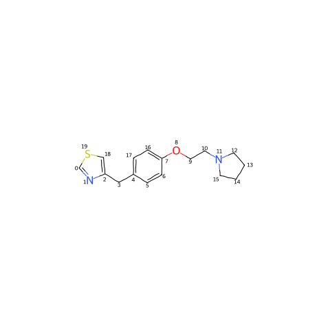 c1nc(Cc2ccc(OCCN3CCCC3)cc2)cs1